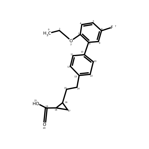 CCOc1ccc(F)cc1-c1ccc(CCC2CC2C(=O)O)cc1